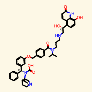 CC(C)N(CCCNC[C@H](O)c1ccc(O)c2[nH]c(=O)ccc12)C(=O)c1ccc(COc2cccc([C@@H](c3ccccc3)N(C(=O)O)C3CN4CCC3CC4)c2)cc1